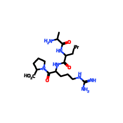 CC(C)CC(NC(=O)C(C)N)C(=O)NC(CCCNC(=N)N)C(=O)N1CCCC1C(=O)O